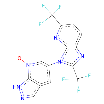 [O-][n+]1cc(-n2c(C(F)(F)F)nc3ccc(C(F)(F)F)nc32)cc2cn[nH]c21